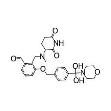 CN(Cc1c(C=O)cccc1OCc1ccc(C(O)(O)N2CCOCC2)cc1)C1CCC(=O)NC1=O